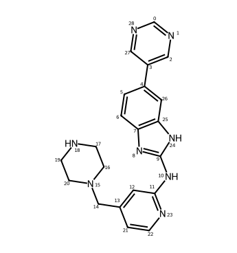 c1ncc(-c2ccc3nc(Nc4cc(CN5CCNCC5)ccn4)[nH]c3c2)cn1